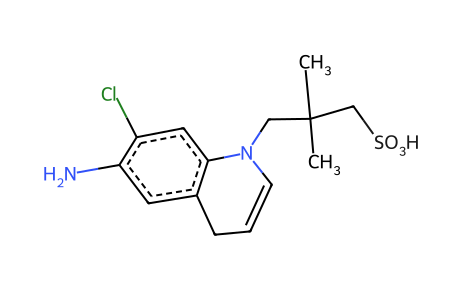 CC(C)(CN1C=CCc2cc(N)c(Cl)cc21)CS(=O)(=O)O